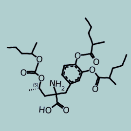 CCCC(C)OC(=O)O[C@@H](C)CC(N)(Cc1ccc(OC(=O)C(C)CCC)c(OC(=O)C(C)CCC)c1)C(=O)O